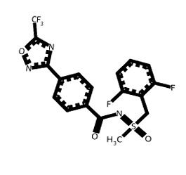 CS(=O)(Cc1c(F)cccc1F)=NC(=O)c1ccc(-c2noc(C(F)(F)F)n2)cc1